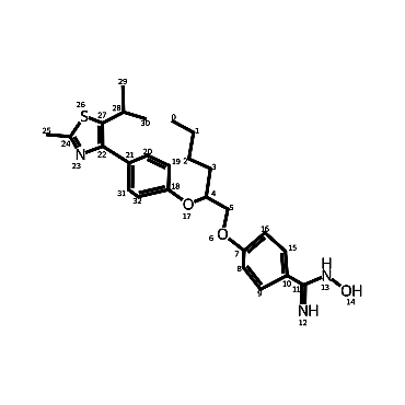 CCCCC(COc1ccc(C(=N)NO)cc1)Oc1ccc(-c2nc(C)sc2C(C)C)cc1